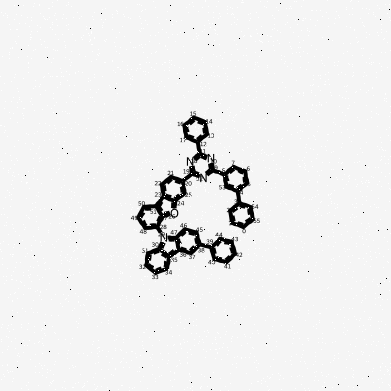 c1ccc(-c2cccc(-c3nc(-c4ccccc4)nc(-c4ccc5c(c4)oc4c(-n6c7ccccc7c7cc(-c8ccccc8)ccc76)cccc45)n3)c2)cc1